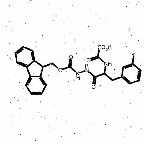 O=C(NNC(=O)C(Cc1cccc(F)c1)NC(=O)C(=O)O)OCC1c2ccccc2-c2ccccc21